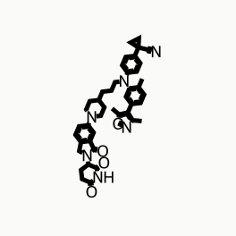 Cc1ccc(-c2c(C)noc2C)cc1N(CCCC1CCN(c2ccc3c(c2)C(=O)N(C2CCC(=O)NC2=O)C3)CC1)c1ccc(C2(C#N)CC2)cc1